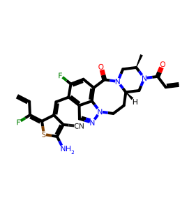 C=CC(=O)N1C[C@@H]2CCn3ncc4c(/C=c5\c(C#N)c(N)s\c5=C(/F)C=C)c(F)cc(c43)C(=O)N2C[C@H]1C